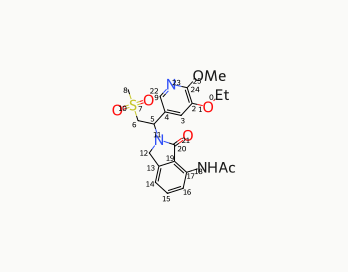 CCOc1cc(C(CS(C)(=O)=O)N2Cc3cccc(NC(C)=O)c3C2=O)cnc1OC